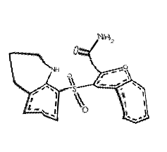 NC(=O)c1oc2ccccc2c1S(=O)(=O)c1cccc2c1NCCC2